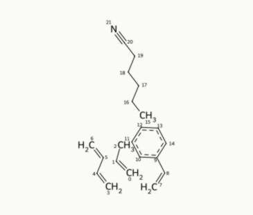 C=CC.C=CC=C.C=Cc1ccccc1.CCCCCC#N